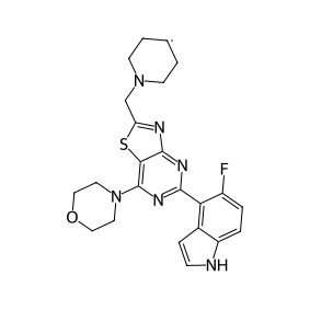 Fc1ccc2[nH]ccc2c1-c1nc(N2CCOCC2)c2sc(CN3CC[CH]CC3)nc2n1